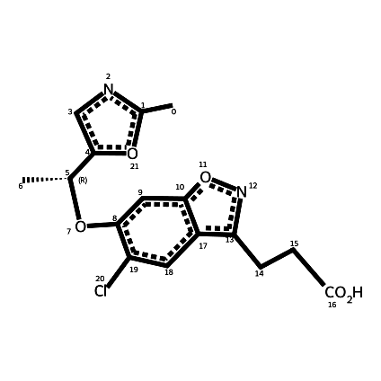 Cc1ncc([C@@H](C)Oc2cc3onc(CCC(=O)O)c3cc2Cl)o1